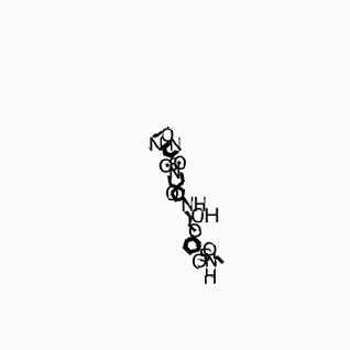 CCNS(=O)(=O)c1cccc(OCC(O)CN[C@H]2COC3(CCN(S(=O)(=O)c4cnc5c(c4)N(C)CCO5)CC3)C2)c1